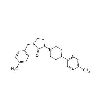 Cc1ccc(CN2CCC(N3CCC(c4ccc(C)cn4)CC3)C2=O)cc1